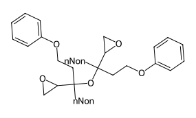 CCCCCCCCCC(CCOc1ccccc1)(OC(CCCCCCCCC)(CCOc1ccccc1)C1CO1)C1CO1